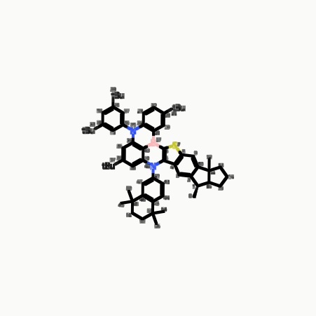 C[C@H]1c2cc3c4c(sc3cc2C2(C)CCCC12)B1c2cc(C(C)(C)C)ccc2N(c2cc(C(C)(C)C)cc(C(C)(C)C)c2)c2cc(C(C)(C)C)cc(c21)N4c1ccc2c(c1)C(C)(C)CCC2(C)C